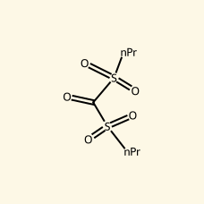 CCCS(=O)(=O)C(=O)S(=O)(=O)CCC